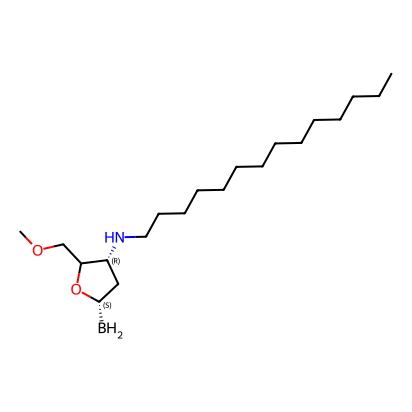 B[C@H]1C[C@@H](NCCCCCCCCCCCCCC)C(COC)O1